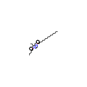 CCCCCCCCCCCCCCCCN1C=CN(CCCCCC)C1(Cc1ccccc1)C(CC)c1ccccc1